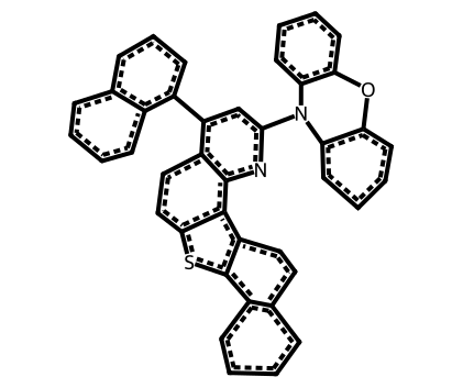 c1ccc2c(c1)Oc1ccccc1N2c1cc(-c2cccc3ccccc23)c2ccc3sc4c5ccccc5ccc4c3c2n1